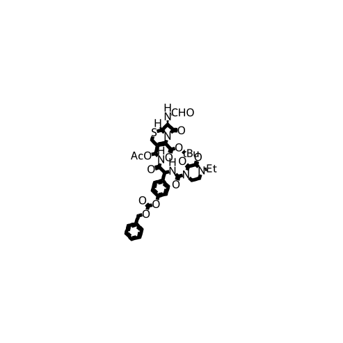 CCN1CCN(C(=O)NC(C(=O)NC(OC(C)=O)C2=C(C(=O)OC(C)(C)C)N3C(=O)[C@H](NC=O)[C@H]3SC2)c2ccc(OC(=O)OCc3ccccc3)cc2)C(=O)C1=O